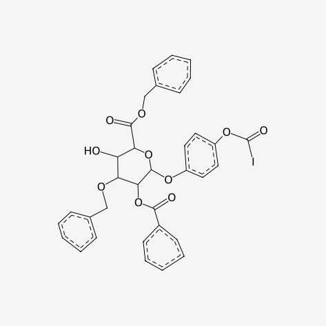 O=C(I)Oc1ccc(OC2OC(C(=O)OCc3ccccc3)C(O)C(OCc3ccccc3)C2OC(=O)c2ccccc2)cc1